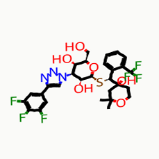 CC1(C)CC(O)([C@H](S[C@@H]2O[C@H](CO)[C@H](O)[C@H](n3cc(-c4cc(F)c(F)c(F)c4)nn3)[C@H]2O)c2ccccc2C(F)(F)F)CCO1